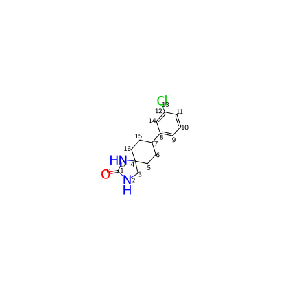 O=C1NCC2(CCC(c3cccc(Cl)c3)CC2)N1